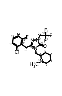 CN1CCCCC1Cn1c(Cc2c(F)cccc2Cl)nn(CC(F)(F)F)c1=O